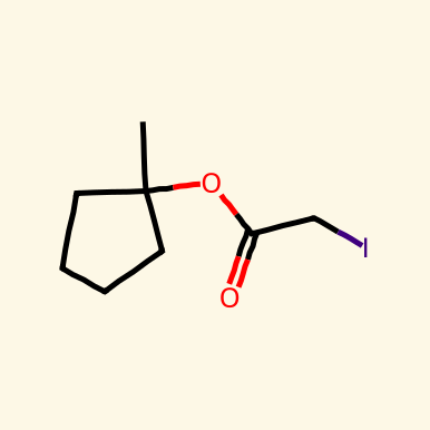 CC1(OC(=O)CI)CCCC1